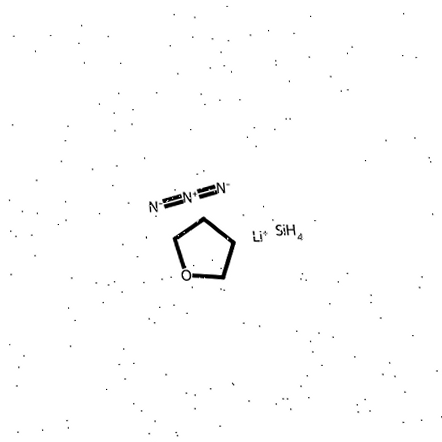 C1CCOC1.[Li+].[N-]=[N+]=[N-].[SiH4]